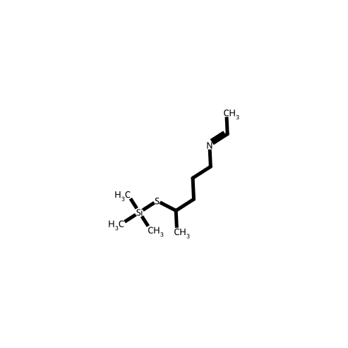 C/C=N/CCCC(C)S[Si](C)(C)C